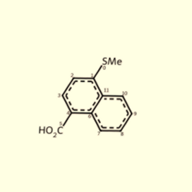 CSc1ccc(C(=O)O)c2ccccc12